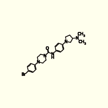 CN(C)C1CCN(c2ccc(NC(=O)N3CCN(c4ccc(Br)cc4)CC3)cc2)C1